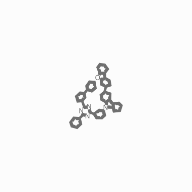 c1ccc(-c2cccc(-c3nc(-c4ccccc4)nc(-c4cccc(-n5c6ccccc6c6cc(-c7ccc8c(c7)oc7ccccc78)ccc65)c4)n3)c2)cc1